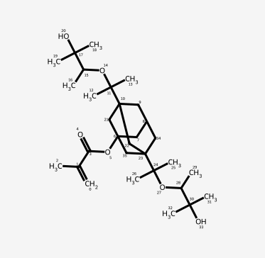 C=C(C)C(=O)OC12CC3CC(C(C)(C)OC(C)C(C)(C)O)(C1)CC(C(C)(C)OC(C)C(C)(C)O)(C3)C2